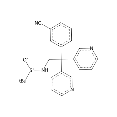 CC(C)(C)[S+]([O-])NCC(c1cccnc1)(c1cccnc1)c1cccc(C#N)c1